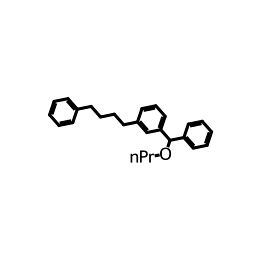 CCCOC(c1ccccc1)c1cccc(CCCCc2ccccc2)c1